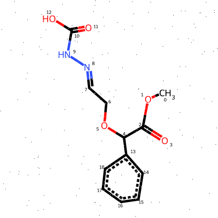 COC(=O)C(OC/C=N/NC(=O)O)c1ccccc1